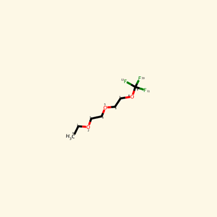 CCOCCOCCOC(F)(F)F